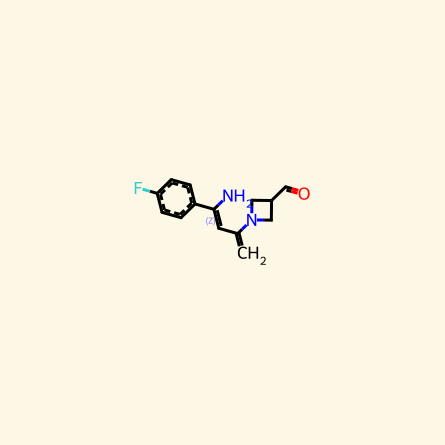 C=C(/C=C(\N)c1ccc(F)cc1)N1CC(C=O)C1